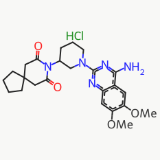 COc1cc2nc(N3CCCC(N4C(=O)CC5(CCCC5)CC4=O)C3)nc(N)c2cc1OC.Cl